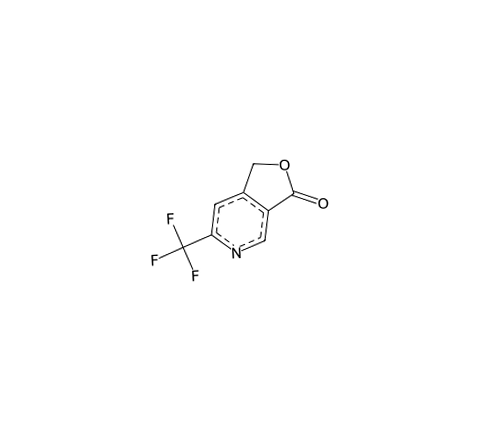 O=C1OCc2cc(C(F)(F)F)ncc21